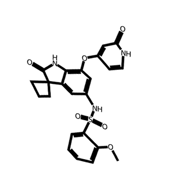 COc1ccccc1S(=O)(=O)Nc1cc(Oc2cc[nH]c(=O)c2)c2c(c1)C1(CCC1)C(=O)N2